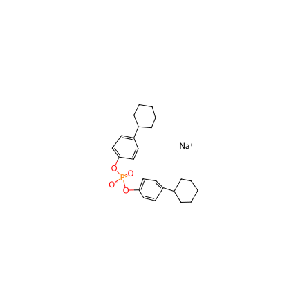 O=P([O-])(Oc1ccc(C2CCCCC2)cc1)Oc1ccc(C2CCCCC2)cc1.[Na+]